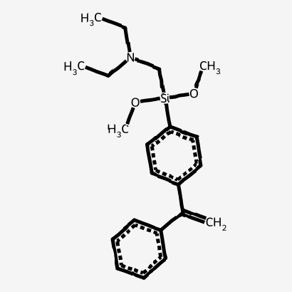 C=C(c1ccccc1)c1ccc([Si](CN(CC)CC)(OC)OC)cc1